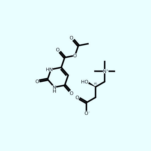 CC(=O)OC(=O)c1cc(=O)[nH]c(=O)[nH]1.C[N+](C)(C)C[C@H](O)CC(=O)[O-]